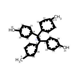 Cc1ccc(/C(=C(/c2ccc(C)cc2)c2ccc(O)cc2)c2ccc(O)cc2)cc1